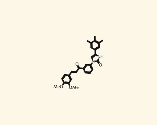 COc1ccc(C=CC(=O)c2cccc(-n3cc(-c4cc(C)c(C)c(C)c4)[nH]c3=O)c2)cc1OC